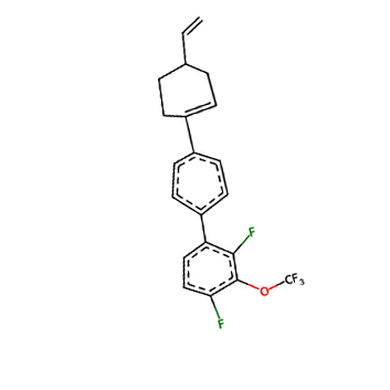 C=CC1CC=C(c2ccc(-c3ccc(F)c(OC(F)(F)F)c3F)cc2)CC1